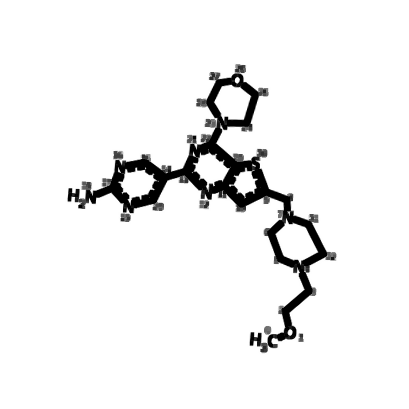 COCCN1CCN(Cc2cc3nc(-c4cnc(N)nc4)nc(N4CCOCC4)c3s2)CC1